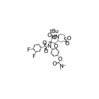 CN(C)C(=O)Oc1ccc(N([C@@](C)(C(=O)OC(C)(C)C)C(=O)C2CS(=O)(=O)CCN2)S(=O)(=O)c2ccc(F)c(F)c2)cc1